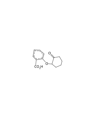 O=C(O)c1ccccc1OC1CCCCC1=O